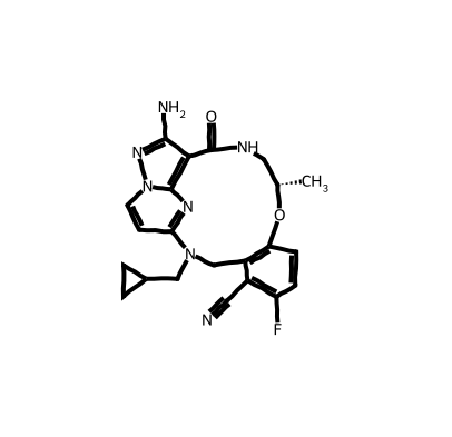 C[C@H]1CNC(=O)c2c(N)nn3ccc(nc23)N(CC2CC2)Cc2c(ccc(F)c2C#N)O1